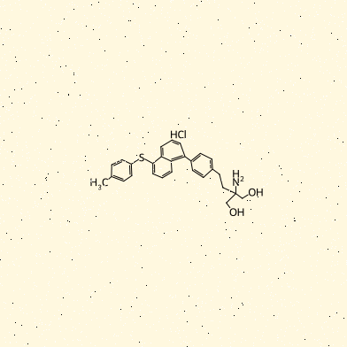 Cc1ccc(Sc2cccc3c(-c4ccc(CCC(N)(CO)CO)cc4)cccc23)cc1.Cl